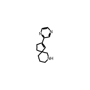 C1=C(c2cnccn2)CCC12CCCNC2